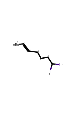 CCCCC=CCCCC(I)I